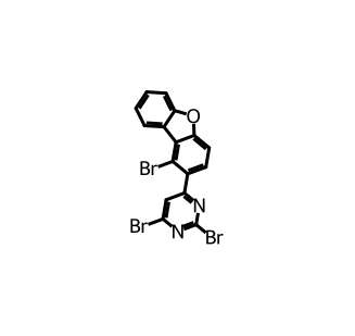 Brc1cc(-c2ccc3oc4ccccc4c3c2Br)nc(Br)n1